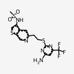 CS(=O)(=O)Nc1csc2cnc(CCSc3nc(N)cc(C(F)(F)F)n3)cc12